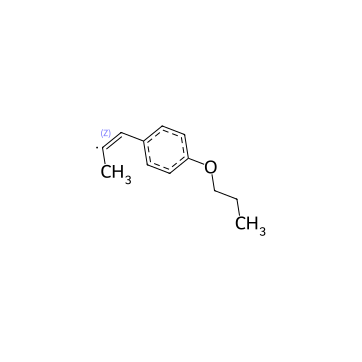 C/[C]=C\c1ccc(OCCC)cc1